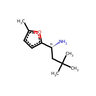 Cc1ccc([C@H](N)CC(C)(C)C)o1